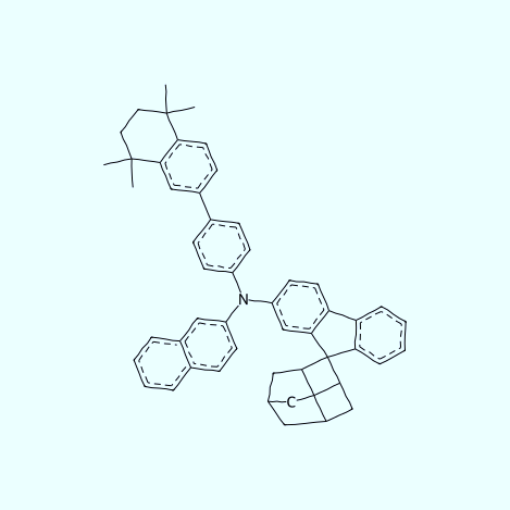 CC1(C)CCC(C)(C)c2cc(-c3ccc(N(c4ccc5c(c4)C4(c6ccccc6-5)C5CC6CC7CC4C75C6)c4ccc5ccccc5c4)cc3)ccc21